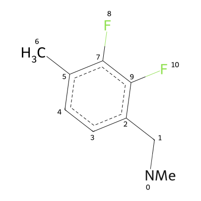 CNCc1ccc(C)c(F)c1F